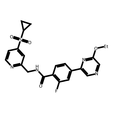 CCOc1cncc(-c2ccc(C(=O)NCc3cc(S(=O)(=O)C4CC4)ccn3)c(F)c2)n1